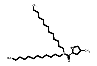 CCCCCCCCCCCCCN(CCCCCCCCCCCC)C(=O)[C@@H]1C[C@H](C)CN1